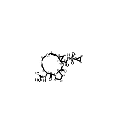 O=C(O)NC1CCCCC/C=C\C2CC2(C(=O)NS(=O)(=O)C2CC2)NC(=O)C2CCCN2C1=O